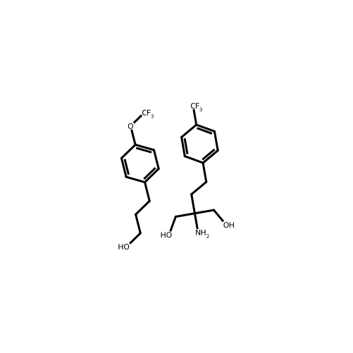 NC(CO)(CO)CCc1ccc(C(F)(F)F)cc1.OCCCc1ccc(OC(F)(F)F)cc1